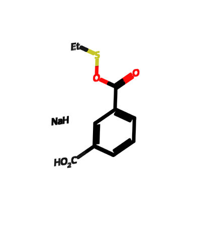 CCSOC(=O)c1cccc(C(=O)O)c1.[NaH]